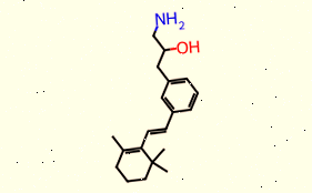 CC1=C(C=Cc2cccc(CC(O)CN)c2)C(C)(C)CCC1